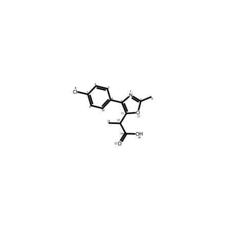 Cc1nc(-c2ccc(Cl)cc2)c(C(C)C(=O)O)o1